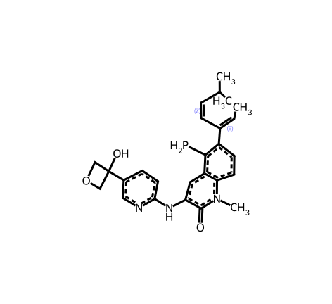 C/C=C(\C=C/C(C)C)c1ccc2c(cc(Nc3ccc(C4(O)COC4)cn3)c(=O)n2C)c1P